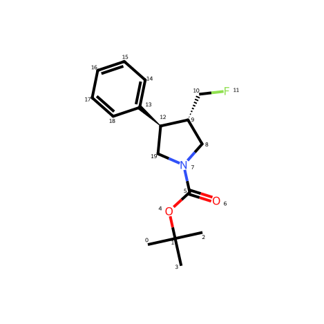 CC(C)(C)OC(=O)N1C[C@@H](CF)[C@H](c2ccccc2)C1